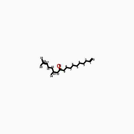 C=CCCCCCCCCC(=O)CC(C)CCC=C(C)C